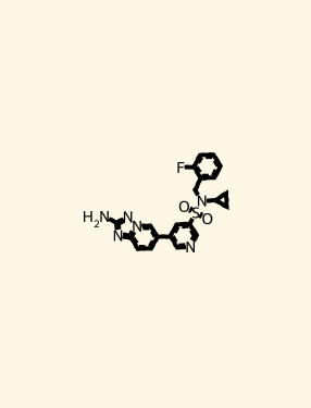 Nc1nc2ccc(-c3cncc(S(=O)(=O)N(Cc4ccccc4F)C4CC4)c3)cn2n1